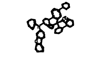 c1ccc(-c2ccc3c(c2)C2(c4ccccc4-c4cccc5cccc2c45)c2cccc4c(N(c5ccccc5)c5ccc6c(c5)oc5ccccc56)ccc-3c24)cc1